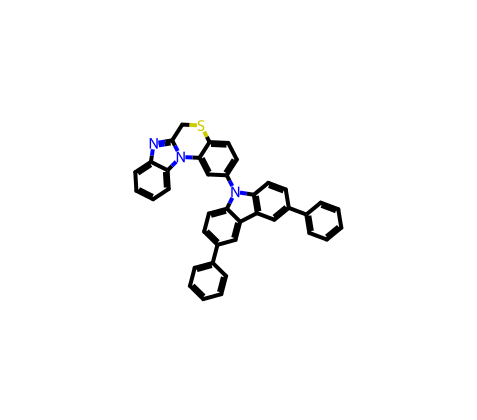 c1ccc(-c2ccc3c(c2)c2cc(-c4ccccc4)ccc2n3-c2ccc3c(c2)-n2c(nc4ccccc42)CS3)cc1